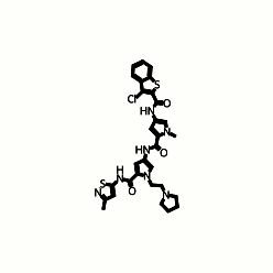 Cc1cc(NC(=O)c2cc(NC(=O)c3cc(NC(=O)c4sc5ccccc5c4Cl)cn3C)cn2CCN2CCCC2)sn1